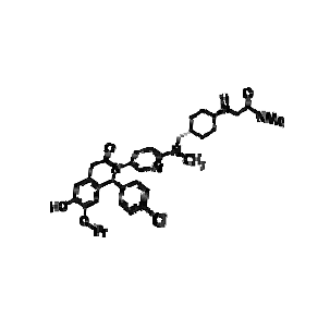 CNC(=O)CN[C@H]1CC[C@H](CN(C)c2ccc(N3C(=O)Cc4cc(O)c(OC(C)C)cc4C3c3ccc(Cl)cc3)cn2)CC1